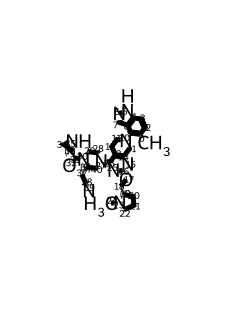 Cc1ccc2[nH]ncc2c1N1CCc2c(nc(OC[C@@H]3CCCN3C)nc2N2CCN(C(=O)[C@H]3CN3)[C@@H](CC#N)C2)C1